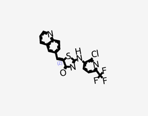 O=C1N=C(Nc2ccc(C(F)(F)F)nc2Cl)S/C1=C\c1ccc2ncccc2c1